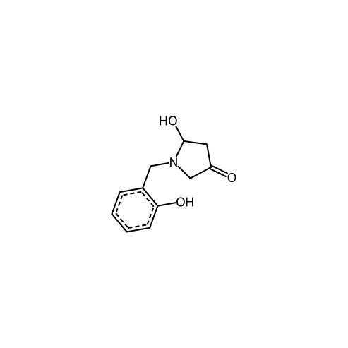 O=C1CC(O)N(Cc2ccccc2O)C1